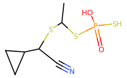 CC(SC(C#N)C1CC1)SP(=O)(O)S